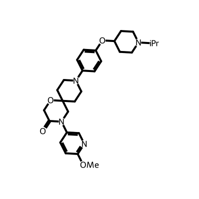 COc1ccc(N2CC3(CCN(c4ccc(OC5CCN(C(C)C)CC5)cc4)CC3)OCC2=O)cn1